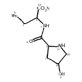 CC(C)CC(NC(=O)C1CC(O)CN1)C(=O)O